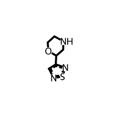 c1nsnc1C1CNCCO1